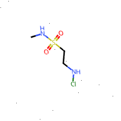 CNS(=O)(=O)CCNCl